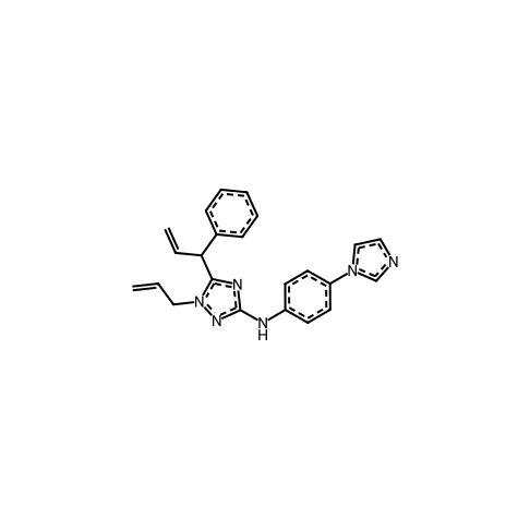 C=CCn1nc(Nc2ccc(-n3ccnc3)cc2)nc1C(C=C)c1ccccc1